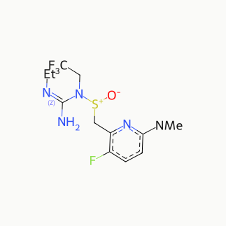 CC/N=C(/N)N(CC(F)(F)F)[S+]([O-])Cc1nc(NC)ccc1F